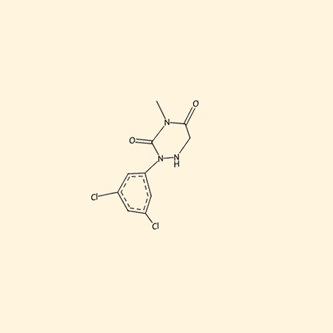 CN1C(=O)CNN(c2cc(Cl)cc(Cl)c2)C1=O